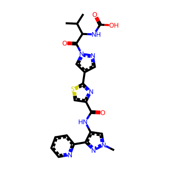 CC(C)C(NC(=O)O)C(=O)n1cc(-c2nc(C(=O)Nc3cn(C)nc3-c3ccccn3)cs2)cn1